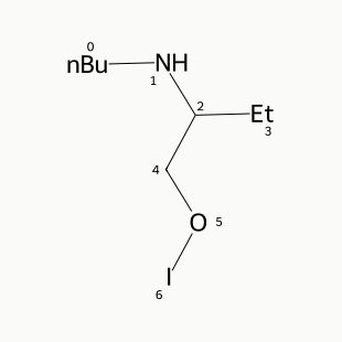 CCCCNC(CC)COI